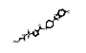 COCC(=O)NS(=O)(=O)c1ccc(C(=O)N[C@H]2CC[C@H](c3nc4cc(Cl)ccc4o3)CC2)o1